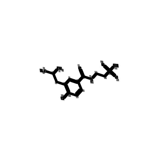 CC(C)Cc1cc(C(=O)NCCS(=O)(=O)O)ccc1Cl